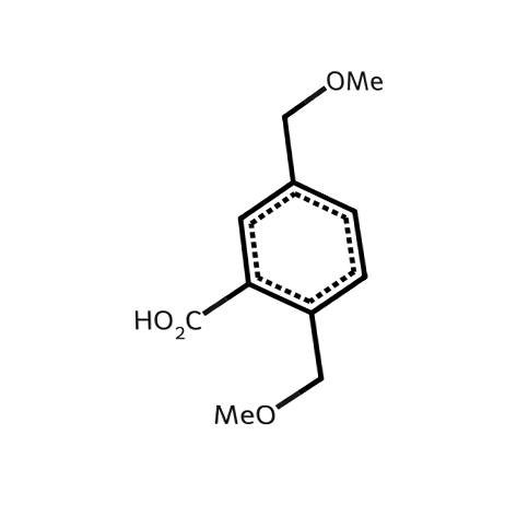 COCc1ccc(COC)c(C(=O)O)c1